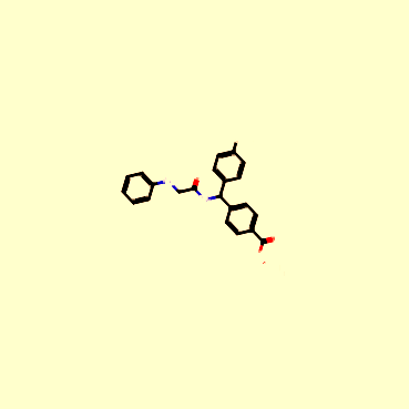 COC(=O)c1ccc(C(NC(=O)CNc2ccccc2)c2ccc(C)cc2)cc1